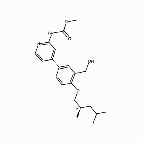 COC(=O)Nc1cc(-c2ccc(OC[C@H](C)CC(C)C)c(CO)c2)ccn1